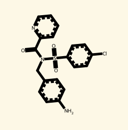 Nc1ccc(CN(C(=O)c2ccccn2)S(=O)(=O)c2ccc(Cl)cc2)cc1